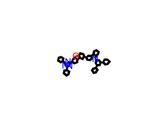 c1ccc(-c2cc(-c3ccccc3)cc(-n3c4ccccc4c4cc(-c5ccc6oc7cc(-c8nc(-c9ccccc9)nc(-c9ccccc9)n8)ccc7c6c5)ccc43)c2)cc1